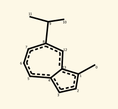 Cc1ccc2cccc(C(C)C)cc1-2